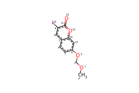 COCOc1ccc2cc(I)c(=O)oc2c1